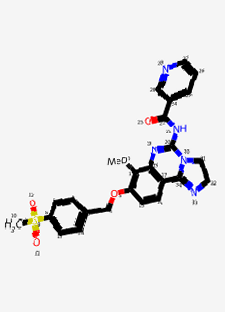 COc1c(OCc2ccc(S(C)(=O)=O)cc2)ccc2c1N=C(NC(=O)c1cccnc1)N1CCN=C21